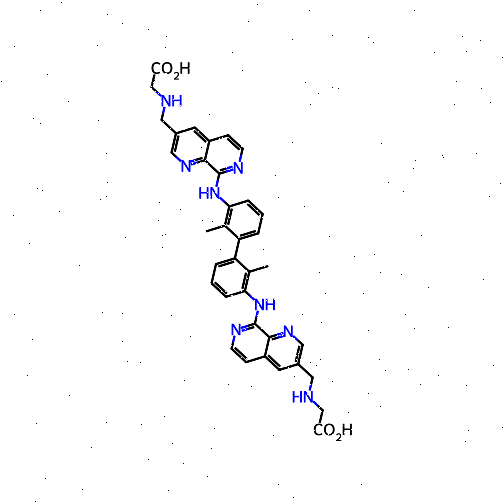 Cc1c(Nc2nccc3cc(CNCC(=O)O)cnc23)cccc1-c1cccc(Nc2nccc3cc(CNCC(=O)O)cnc23)c1C